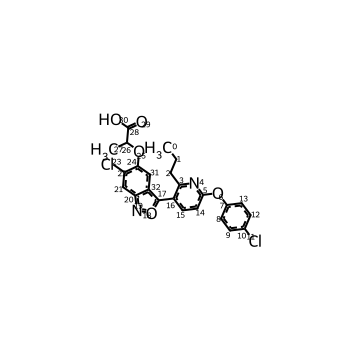 CCCc1nc(Oc2ccc(Cl)cc2)ccc1-c1onc2cc(Cl)c(OC(C)C(=O)O)cc12